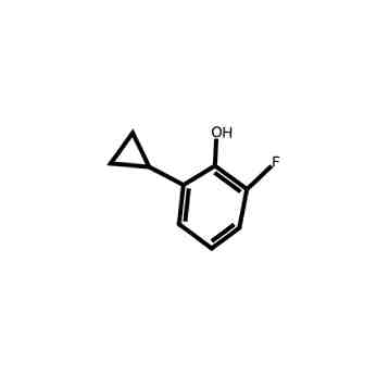 Oc1c(F)cccc1C1CC1